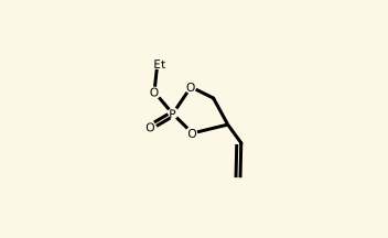 C=CC1COP(=O)(OCC)O1